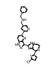 Clc1ccc(-c2nccc3[nH]c(-c4n[nH]c5ccc(-c6cncc(CNCc7ccccc7)c6)nc45)nc23)s1